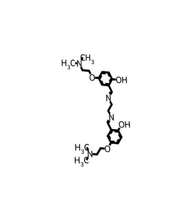 CN(C)CCOc1ccc(O)c(C=NCCN=Cc2cc(OCCN(C)C)ccc2O)c1